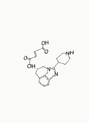 O=C(O)C=CC(=O)O.c1cc2c3c(c1)nc(C1CCNCC1)n3CCC2